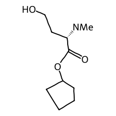 CN[C@@H](CCO)C(=O)OC1CCCC1